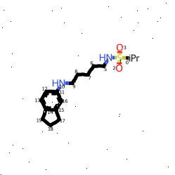 CC(C)S(=O)(=O)NCCCCCNc1ccc2c(c1)CCC2